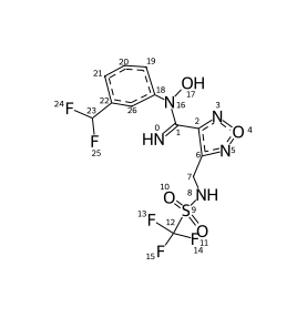 N=C(c1nonc1CNS(=O)(=O)C(F)(F)F)N(O)c1cccc(C(F)F)c1